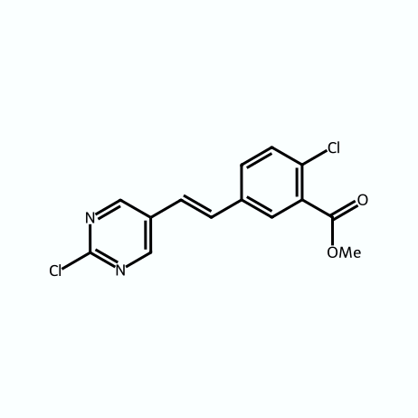 COC(=O)c1cc(/C=C/c2cnc(Cl)nc2)ccc1Cl